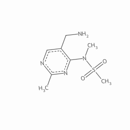 Cc1ncc(CN)c(N(C)S(C)(=O)=O)n1